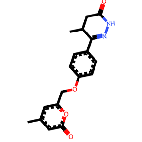 Cc1cc(COc2ccc(C3=NNC(=O)CC3C)cc2)oc(=O)c1